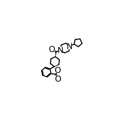 O=C1O[C@]2(CC[C@H](C(=O)N3CCN(C4CCCC4)CC3)CC2)c2ccccc21